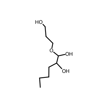 CCCCC(O)C(O)OCCCO